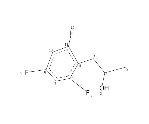 [CH2]C(O)Cc1c(F)cc(F)cc1F